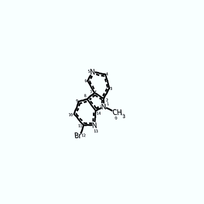 Cn1c2ccncc2c2ccc(Br)nc21